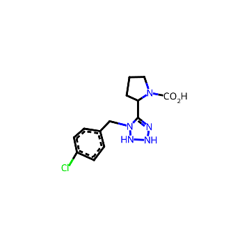 O=C(O)N1CCCC1C1=NNNN1Cc1ccc(Cl)cc1